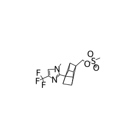 Cn1cc(C(F)(F)F)nc1C12C3C4C1C1C2C3C41COS(C)(=O)=O